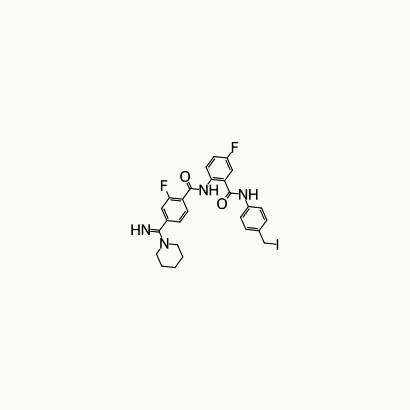 N=C(c1ccc(C(=O)Nc2ccc(F)cc2C(=O)Nc2ccc(CI)cc2)c(F)c1)N1CCCCC1